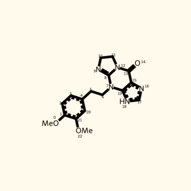 COc1ccc(CCN2C3=NCCN3C(=O)c3nc[nH]c32)cc1OC